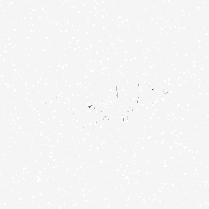 C[C@H](N[P@@]1(=O)OC[C@H]2[C@@H](O)[C@H](n3ccc(=O)[nH]c3=O)O[C@@H]2CO1)C(=O)OCc1ccccc1